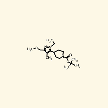 CCn1nc(COC)c(C)c1C1CCN(C(=O)OC(C)(C)C)CC1